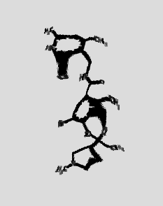 Cc1cc(C)c(CNC(=O)c2cc(Br)c3c(c2C)OC(C)(C2CCN(C)C2)O3)c(=O)[nH]1